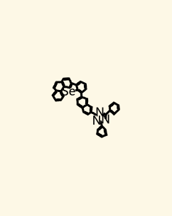 c1ccc(-c2nc(-c3ccccc3)nc(-c3ccc4ccc(-c5cccc6c5[se]c5c6ccc6ccc7ccccc7c65)cc4c3)n2)cc1